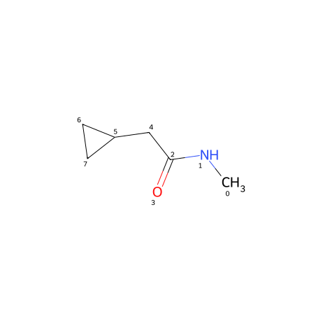 CNC(=O)CC1CC1